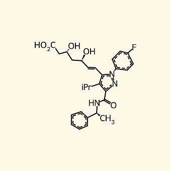 CC(C)c1c(C(=O)N[C@@H](C)c2ccccc2)nn(-c2ccc(F)cc2)c1/C=C/[C@H](O)C[C@@H](O)CC(=O)O